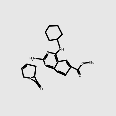 CC(C)(C)OC(=O)c1ccc2nc(N)nc(NC3CCCCC3)c2c1.O=C1C2CC=CCN12